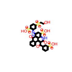 O=C(c1cccc(S(=O)(=O)O)c1)c1c2c3c(c(Nc4cc(S(=O)(=O)CCO)ccc4S(=O)(=O)O)cc(S(=O)(=O)O)c3[nH]c1=O)C(=O)c1ccccc1-2